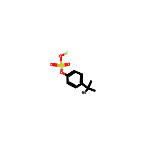 CCC(C)(C)c1ccc(OS(=O)(=O)OF)cc1